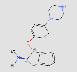 CCN(CC)[C@@H]1Cc2ccccc2[C@H]1Oc1ccc(N2CCNCC2)cc1